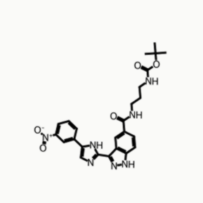 CC(C)(C)OC(=O)NCCCNC(=O)c1ccc2[nH]nc(-c3ncc(-c4cccc([N+](=O)[O-])c4)[nH]3)c2c1